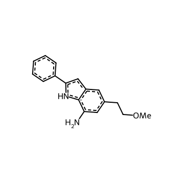 COCCc1cc(N)c2[nH]c(-c3ccccc3)cc2c1